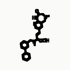 CN1CC(=O)Nc2ncc(C=CC(=O)N(C)Cc3cccc(-c4ccccc4)c3)cc2C1.Cl